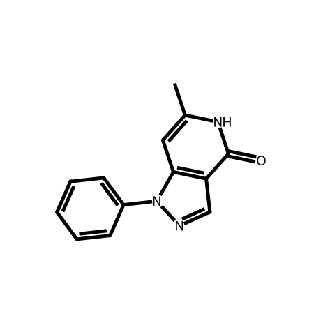 Cc1cc2c(cnn2-c2ccccc2)c(=O)[nH]1